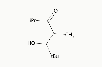 CC(C)C(=O)C(C)C(O)C(C)(C)C